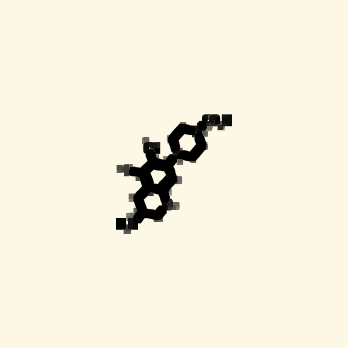 N#Cc1c(N2CCN(C(=O)O)CC2)cc2c(c1F)CC(N)CO2